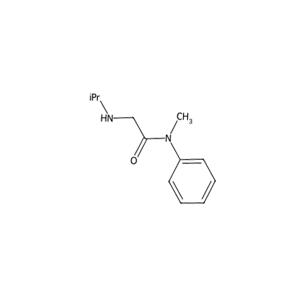 CC(C)NCC(=O)N(C)c1ccccc1